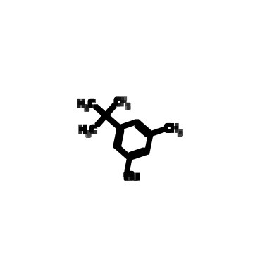 Cc1cc(C(C)(C)C)cc(C(C)(C)C(F)(F)F)c1